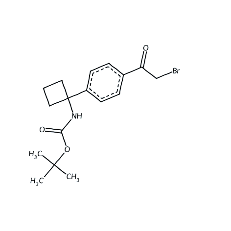 CC(C)(C)OC(=O)NC1(c2ccc(C(=O)CBr)cc2)CCC1